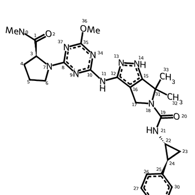 CNC(=O)[C@@H]1CCCN1c1nc(Nc2n[nH]c3c2CN(C(=O)N[C@@H]2C[C@H]2c2ccccc2)C3(C)C)nc(OC)n1